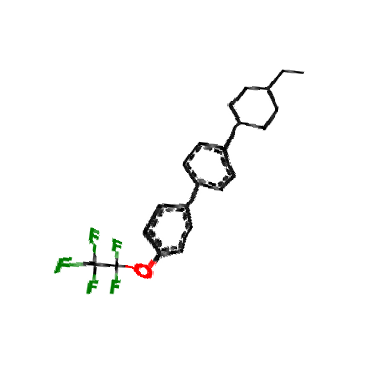 CCC1CCC(c2ccc(-c3ccc(OC(F)(F)C(F)(F)F)cc3)cc2)CC1